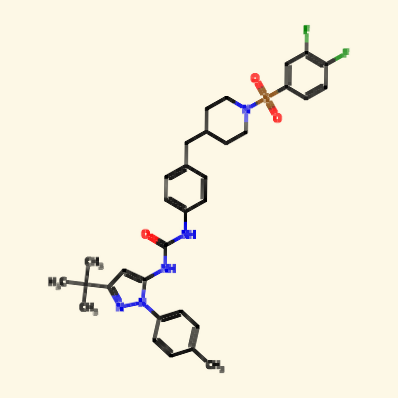 Cc1ccc(-n2nc(C(C)(C)C)cc2NC(=O)Nc2ccc(CC3CCN(S(=O)(=O)c4ccc(F)c(F)c4)CC3)cc2)cc1